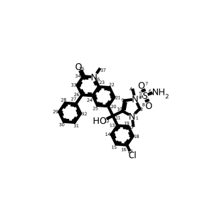 CN1C[N+](C)(S(N)(=O)=O)C=C1C(O)(c1ccc(Cl)cc1)c1ccc2c(c1)c(-c1ccccc1)cc(=O)n2C